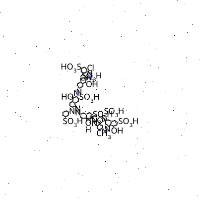 Cc1cc(N=Nc2c(S(=O)(=O)O)cc3cc(N=Nc4c(Nc5cccc(S(=O)(=O)O)c5)ccc5c(O)c(/N=N/c6ccc7cc(S(=O)(=O)O)c(/N=N\c8c(C)cc(S(=O)(=O)O)cc8Cl)c(O)c7c6)c(S(=O)(=O)O)cc45)ccc3c2O)c(OCCCS(=O)(=O)O)cc1/N=N\c1cc(S(=O)(=O)O)cc2cc(S(=O)(=O)O)cc(O)c12